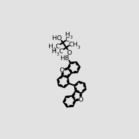 CC(C)(O)C(C)(C)OBc1cccc2c1oc1cccc(-c3cccc4oc5ccccc5c34)c12